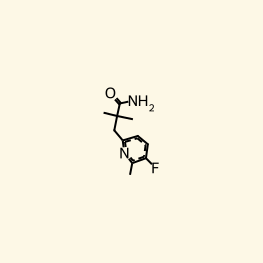 Cc1nc(CC(C)(C)C(N)=O)ccc1F